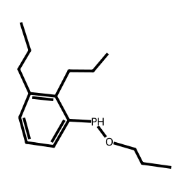 CCCOPc1cccc(CCC)c1CCC